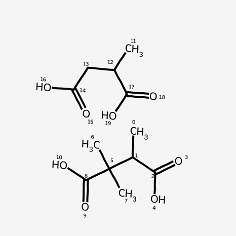 CC(C(=O)O)C(C)(C)C(=O)O.CC(CC(=O)O)C(=O)O